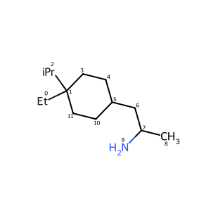 CCC1(C(C)C)CCC(CC(C)N)CC1